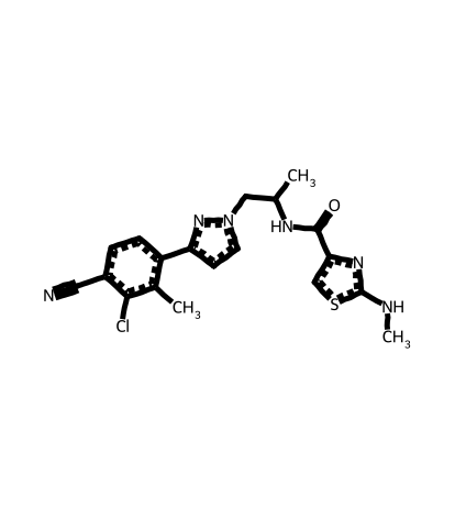 CNc1nc(C(=O)NC(C)Cn2ccc(-c3ccc(C#N)c(Cl)c3C)n2)cs1